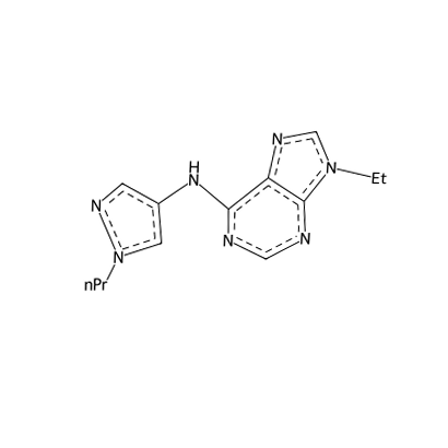 CCCn1cc(Nc2ncnc3c2ncn3CC)cn1